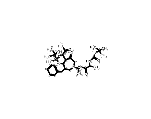 CC(NC(=O)OC(C)(C)C)C(=O)N[C@@H](C)N1CC(=O)C([C@@H](C)C(=O)O)C(O[Si](C)(C)C(C)(C)C)C(Cc2ccccc2)C1